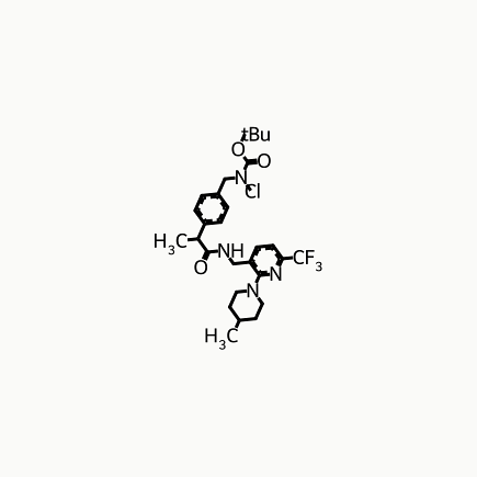 CC1CCN(c2nc(C(F)(F)F)ccc2CNC(=O)C(C)c2ccc(CN(Cl)C(=O)OC(C)(C)C)cc2)CC1